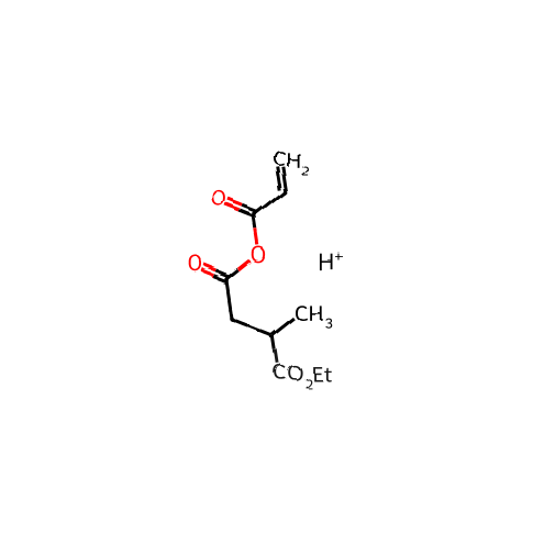 C=CC(=O)OC(=O)CC(C)C(=O)OCC.[H+]